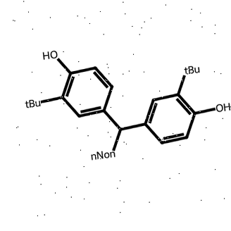 CCCCCCCCCC(c1ccc(O)c(C(C)(C)C)c1)c1ccc(O)c(C(C)(C)C)c1